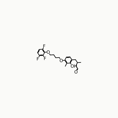 Cc1c(OCCCCOc2c(F)ccc(F)c2F)ccc(CC(C)CC=O)c1O